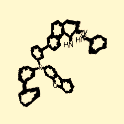 N=C1/C(=N\Nc2ccccc2)C=Cc2ccc3cc(-c4cccc(N(c5cccc(-c6ccccc6)c5)c5ccc6c(c5)oc5ccccc56)c4)ccc3c21